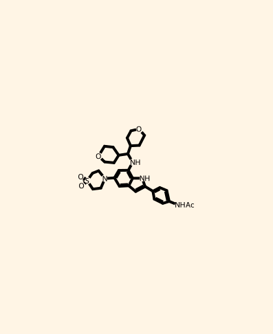 CC(=O)Nc1ccc(-c2cc3cc(N4CCS(=O)(=O)CC4)cc(NC(C4CCOCC4)C4CCOCC4)c3[nH]2)cc1